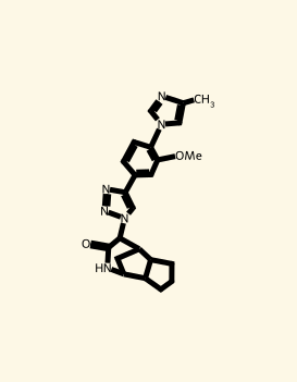 COc1cc(-c2cn(C3C(=O)NC4CC3C3CCCC43)nn2)ccc1-n1cnc(C)c1